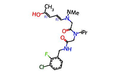 CNN(/C=C/C=C(\C)O)CC(=O)N(CC(=O)NCc1cccc(Cl)c1F)C(C)C